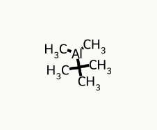 [CH3][Al]([CH3])[C](C)(C)C